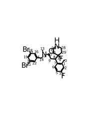 Cc1cc(F)ccc1C(CC(=O)N(C)Cc1cc(Br)cc(Br)c1)C1(F)CCNCC1